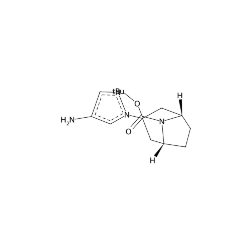 CC(C)(C)OC(=O)N1[C@@H]2CC[C@H]1CC(n1cc(N)cn1)C2